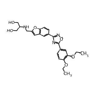 CCOc1ccc(-c2nc(-c3ccc4oc(CNC(CO)CO)cc4c3)no2)cc1OCC